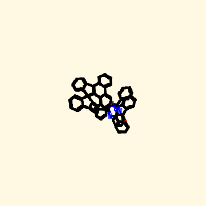 c1ccc(-c2nc(-c3ccccc3)nc(-c3ccc4c(c3)C3(c5ccccc5-4)c4ccccc4-c4c3c3c5ccccc5c(-n5c6ccccc6c6ccccc65)cc3c3ccccc43)n2)cc1